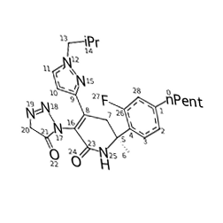 CCCCCc1ccc([C@]2(C)CC(c3ccn(CC(C)C)n3)=C(N3N=NCC3=O)C(=O)N2)c(F)c1